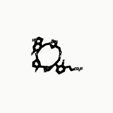 O=C(O)CCc1cccc(C2CCOCc3cn(nn3)Cc3c(c(F)cc4[nH]ccc34)Oc3ccc(F)c(c3)-c3ncc2[nH]3)c1F